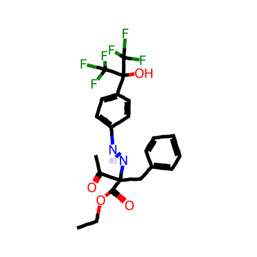 CCOC(=O)C(Cc1ccccc1)(/N=N/c1ccc(C(O)(C(F)(F)F)C(F)(F)F)cc1)C(C)=O